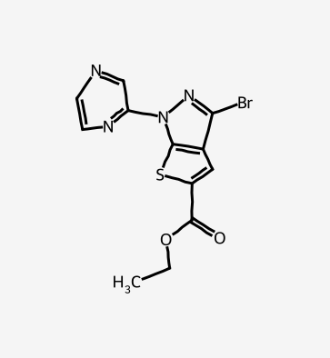 CCOC(=O)c1cc2c(Br)nn(-c3cnccn3)c2s1